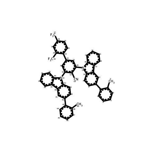 Cc1ccccc1-c1ccc2c(c1)c1ccccc1n2-c1cc(-c2ccc(C(F)(F)F)cc2C(F)(F)F)cc(-n2c3ccccc3c3cc(-c4ccccc4C)ccc32)c1C#N